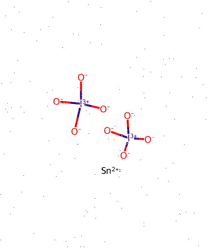 [O-][I+3]([O-])([O-])[O-].[O-][I+3]([O-])([O-])[O-].[Sn+2]